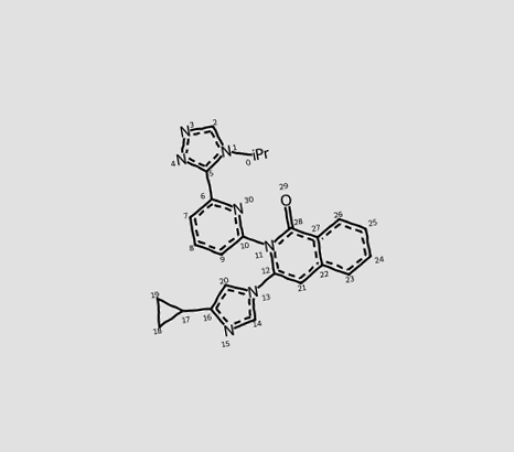 CC(C)n1cnnc1-c1cccc(-n2c(-n3cnc(C4CC4)c3)cc3ccccc3c2=O)n1